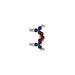 CC(C)c1ccc(N(c2ccc(C#N)cc2)c2ccc3c(ccc4c5ccc6oc7c8ccc(N(c9ccc(C#N)cc9)c9ccc(C(C)C)cc9)cc8ccc7c6c5oc34)c2)cc1